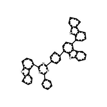 c1ccc(-c2nc(-c3ccc(-c4ccc(-c5cccc6c5sc5ccccc56)c5c4oc4ccccc45)cc3)nc(-c3cccc4sc5ccccc5c34)n2)cc1